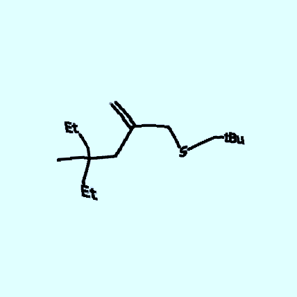 C=C(CSC(C)(C)C)CC(C)(CC)CC